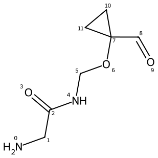 NCC(=O)NCOC1(C=O)CC1